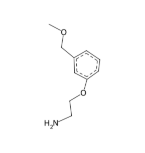 COCc1cccc(OCCN)c1